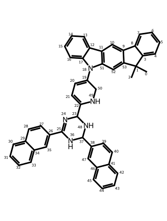 CC1(C)c2ccccc2-c2cc3c4ccccc4n(C4=CC=C(C5N=C(c6ccc7ccccc7c6)NC(c6ccc7ccccc7c6)N5)NC4)c3cc21